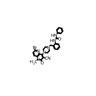 Cn1c(=O)c(C#N)c(N2CCN(Cc3ccccc3NC(=O)Nc3ccccc3)CC2)c2nc(Br)ccc21